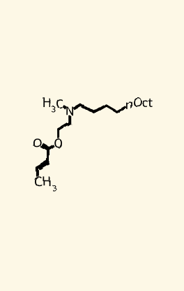 CC=CC(=O)OCCN(C)CCCCCCCCCCCC